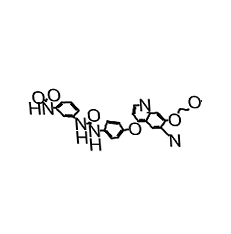 COCCOc1cc2nccc(Oc3ccc(NC(=O)Nc4ccc5oc(=O)[nH]c5c4)cc3)c2cc1C#N